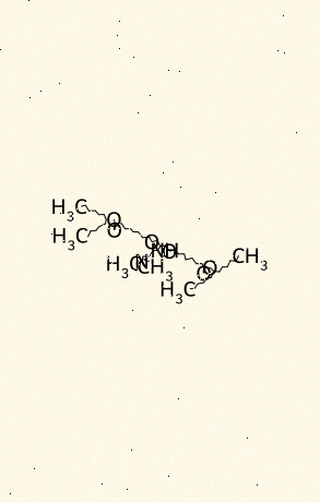 CCCCCCC(CCCCCC)OC(=O)CCCCCCCOCC(COCCCCCCCC(=O)OC(CCCCCC)CCCCCC)NCCCN(C)C